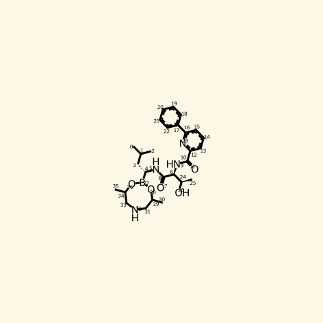 CC(C)C[C@H](NC(=O)[C@@H](NC(=O)c1cccc(-c2ccccc2)n1)[C@@H](C)O)B1OC(C)CNCC(C)O1